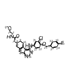 COCCNC(=O)CC1CCc2c(sc3ncnc(Nc4ccc(OCc5ccc(F)cc5)c(Cl)c4)c23)C1